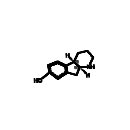 Oc1ccc2c(c1)C[C@@H]1NCCC[C@H]21